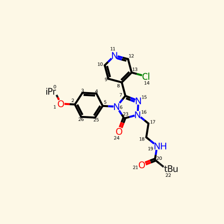 CC(C)Oc1ccc(-n2c(-c3ccncc3Cl)nn(CCNC(=O)C(C)(C)C)c2=O)cc1